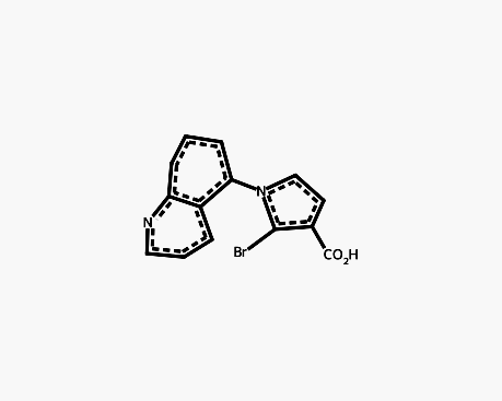 O=C(O)c1ccn(-c2cccc3ncccc23)c1Br